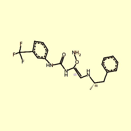 C[C@@H](Cc1ccccc1)N/C=C(/NC(=O)Nc1cccc(C(F)(F)F)c1)ON